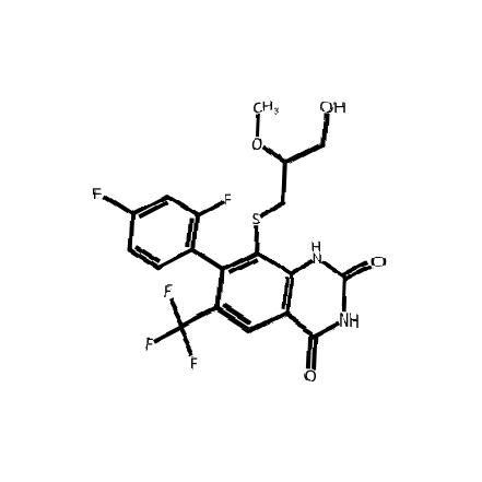 COC(CO)CSc1c(-c2ccc(F)cc2F)c(C(F)(F)F)cc2c(=O)[nH]c(=O)[nH]c12